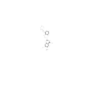 COc1cc2nc(N3CCc4c(CN5CCCCC5)cccc4C3)[nH]c(=O)c2cc1OC